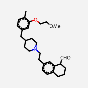 COCCOc1cc(CC2CCN(CCc3ccc4c(c3)C(C=O)CCC4)CC2)ccc1C